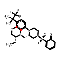 CC[C@@H]1COCCN1C[C@H]1CN(S(=O)(=O)C2=CC=CCC2=S)CCN1c1ccc([C@](C)(O)C(F)(F)F)cc1